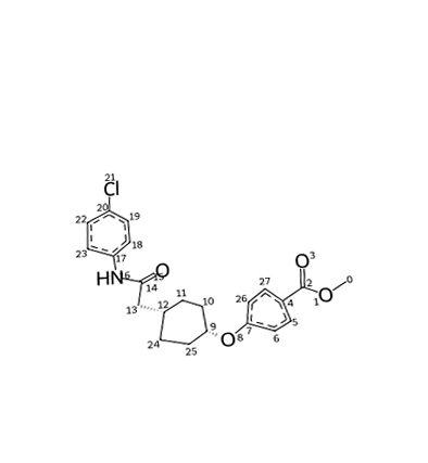 COC(=O)c1ccc(O[C@H]2CC[C@@H](CC(=O)Nc3ccc(Cl)cc3)CC2)cc1